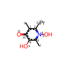 Cc1c(C(C)C)n(O)c(C)c(O)c1=O